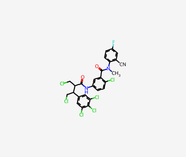 CN(C(=O)c1cc(NC(=O)C(CCl)C(CCl)c2cc(Cl)c(Cl)c(Cl)c2)ccc1Cl)c1ccc(F)cc1C#N